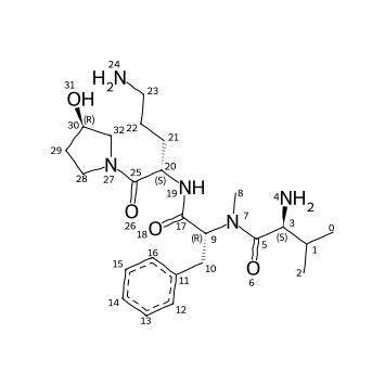 CC(C)[C@H](N)C(=O)N(C)[C@H](Cc1ccccc1)C(=O)N[C@@H](CCCN)C(=O)N1CC[C@@H](O)C1